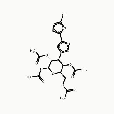 CC(=O)OC[C@H]1O[C@@H](OC(C)=O)[C@H](OC(C)=O)[C@@H](n2cc(-c3csc(O)n3)nn2)[C@H]1OC(C)=O